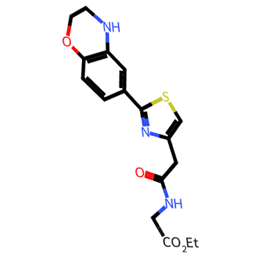 CCOC(=O)CNC(=O)Cc1csc(-c2ccc3c(c2)NCCO3)n1